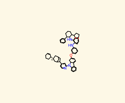 C1=CC([C@H]2CC3CC(C2)C(c2ccnc(N4c5ccccc5C5=CC=C(Oc6cccc(Nc7ccccc7NC7C(c8ccccc8)CCCC7C7CCCC7)c6)CC54)c2)C3)CCC1